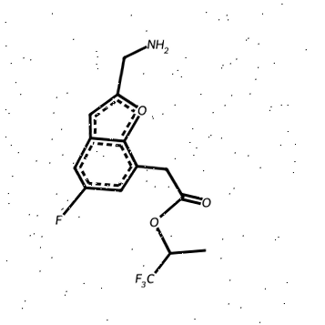 CC(OC(=O)Cc1cc(F)cc2cc(CN)oc12)C(F)(F)F